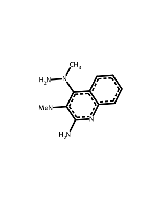 CNc1c(N)nc2ccccc2c1N(C)N